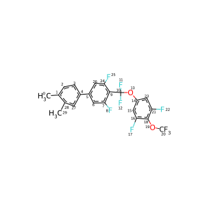 Cc1ccc(-c2cc(F)c(C(F)(F)Oc3cc(F)c(OC(F)(F)F)c(F)c3)c(F)c2)cc1C